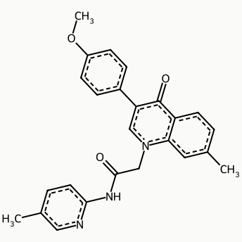 COc1ccc(-c2cn(CC(=O)Nc3ccc(C)cn3)c3cc(C)ccc3c2=O)cc1